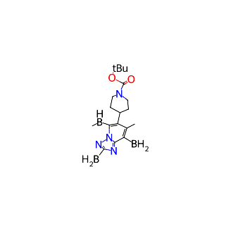 Bc1nc2c(B)c(C)c(C3CCN(C(=O)OC(C)(C)C)CC3)c(BC)n2n1